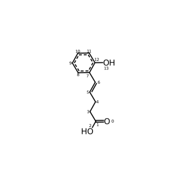 O=C(O)CCC=Cc1ccccc1O